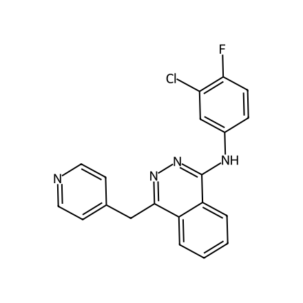 Fc1ccc(Nc2nnc(Cc3ccncc3)c3ccccc23)cc1Cl